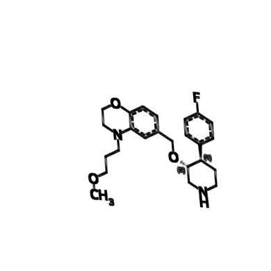 COCCCN1CCOc2ccc(CO[C@H]3CNCC[C@@H]3c3ccc(F)cc3)cc21